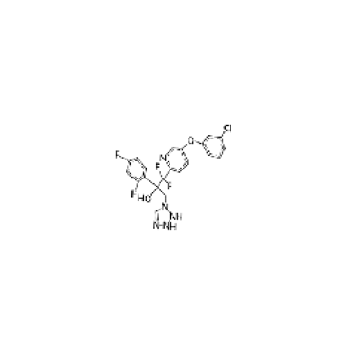 OC(CN1C=NNN1)(c1ccc(F)cc1F)C(F)(F)c1ccc(Oc2cccc(Cl)c2)cn1